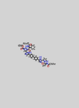 COC(=O)N[C@H](C(=O)N1CC=C[C@H]1c1ncc(-c2ccc(-c3ccc(-c4cnc([C@@H]5CN(C(=O)OC(C)(C)C)CN5C(=O)[C@@H](NC(=O)OC)C5CCCCC5)[nH]4)cc3)cc2)[nH]1)C(C)C